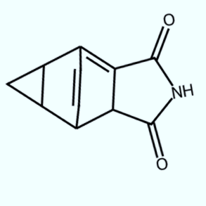 O=C1NC(=O)C2C1=C1C=CC2C2CC12